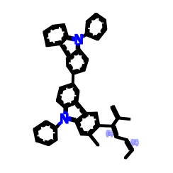 C=C(C)/C(=C\C=C/C)c1cc2c3cc(-c4ccc5c(c4)c4ccccc4n5-c4ccccc4)ccc3n(-c3ccccc3)c2cc1C